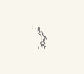 CC(C)Oc1ccc(-c2nccc(N3CCC(NC(=O)O)CC3)n2)cc1C(C)C